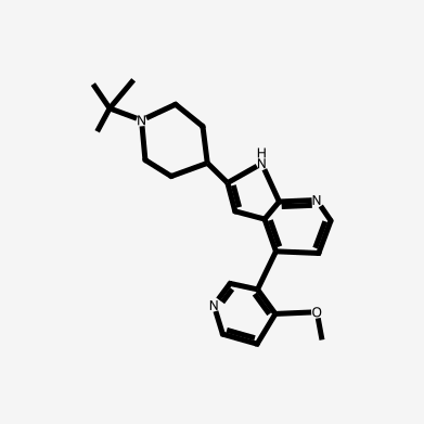 COc1ccncc1-c1ccnc2[nH]c(C3CCN(C(C)(C)C)CC3)cc12